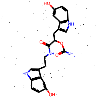 NC(=O)OC(Cc1c[nH]c2ccc(O)cc12)C(=O)NCCc1c[nH]c2ccc(O)cc12